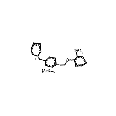 CNC.O=[N+]([O-])c1ccccc1OCc1ccc(Nc2ccccc2)cc1